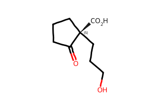 O=C(O)[C@]1(CCCO)CCCC1=O